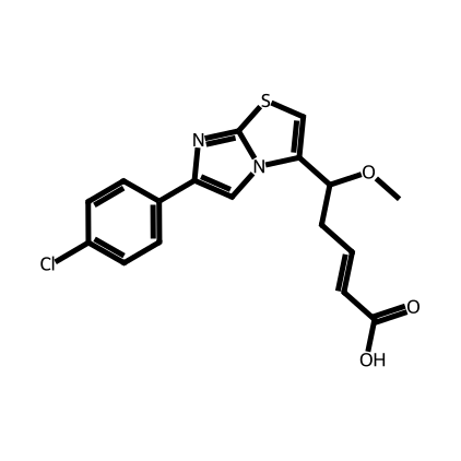 COC(CC=CC(=O)O)c1csc2nc(-c3ccc(Cl)cc3)cn12